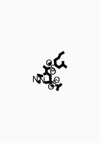 CCCCC(CC(C)C)S(=O)(=O)C(C)C(C)CC(Cn1ccnc1)S(=O)(=O)C(C)C